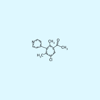 CC(=O)c1cc(Cl)c(C)c(-c2ccncc2)c1C